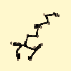 NCCNCCN(C(=S)S)C(=S)S